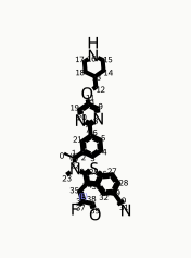 C[C@@H](c1cccc(-c2ncc(OCC3CCNCC3)cn2)c1)N(C)c1sc2ccc(C#N)cc2c1/C=C(/F)C=O